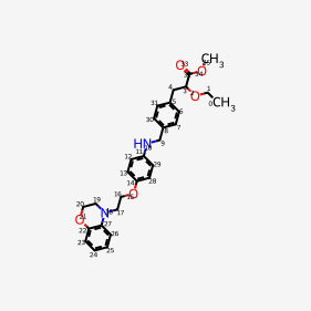 CCOC(Cc1ccc(CNc2ccc(OCCN3CCOc4ccccc43)cc2)cc1)C(=O)OC